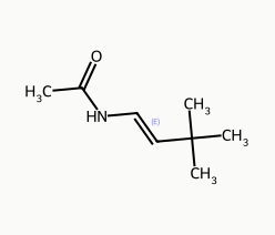 CC(=O)N/C=C/C(C)(C)C